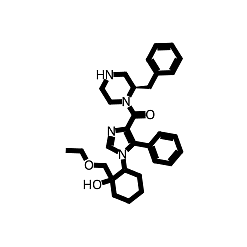 CCOCC1(O)CCCCC1n1cnc(C(=O)N2CCNC[C@H]2Cc2ccccc2)c1-c1ccccc1